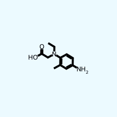 CCN(CC(=O)O)c1ccc(N)cc1C